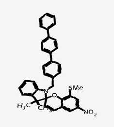 CSc1cc([N+](=O)[O-])cc2c1OC1(C=C2)N(Cc2ccc(-c3ccc(-c4ccccc4)cc3)cc2)c2ccccc2C1(C)C